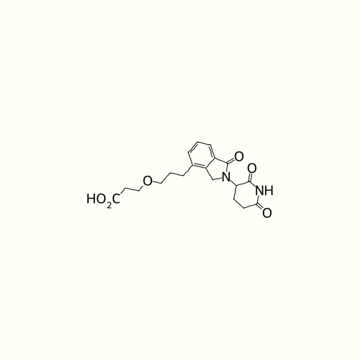 O=C(O)CCOCCCc1cccc2c1CN(C1CCC(=O)NC1=O)C2=O